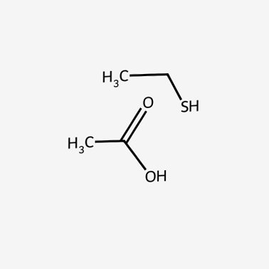 CC(=O)O.CCS